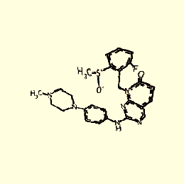 CN1CCN(c2ccc(Nc3ncc4ccc(=O)n(Cc5c(F)cccc5[S+](C)[O-])c4n3)cc2)CC1